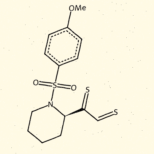 COc1ccc(S(=O)(=O)N2CCCC[C@@H]2C(=S)C=S)cc1